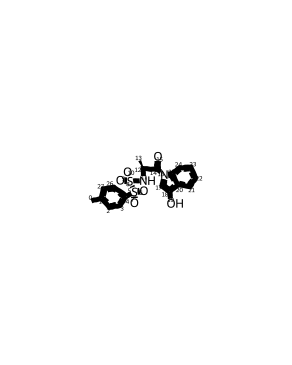 Cc1ccc(S(=O)(=O)S(=O)(=O)N[C@@H](C)C(=O)n2cc(O)c3ccccc32)cc1